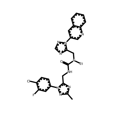 CCN(Cc1ncnn1-c1cnc2ccccc2c1)C(=O)NCc1nc(C)nn1-c1ccc(Cl)c(F)c1